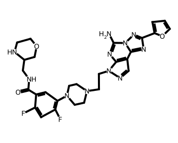 Nc1nc2c(cnn2CCN2CCN(c3cc(C(=O)NCC4COCCN4)c(F)cc3F)CC2)c2nc(-c3ccco3)nn12